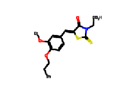 CCOc1cc(/C=C2\SC(=S)N(CC(=O)O)C2=O)ccc1OCCC(C)C